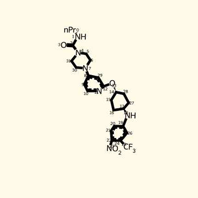 CCCNC(=O)N1CCN(c2ccnc(O[C@H]3CC[C@H](Nc4ccc([N+](=O)[O-])c(C(F)(F)F)c4)CC3)c2)CC1